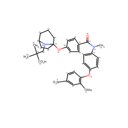 COc1cc([N+](=O)[O-])ccc1Oc1ccc(N(C)C(=O)c2ccc(OC34CCCC(CC3)N4CC(C)(C)C(=O)O)cc2)cc1